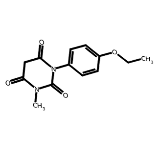 CCOc1ccc(N2C(=O)CC(=O)N(C)C2=O)cc1